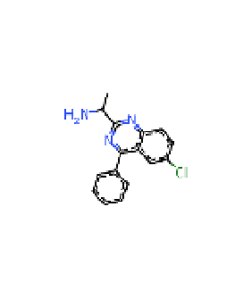 CC(N)c1nc(-c2ccccc2)c2cc(Cl)ccc2n1